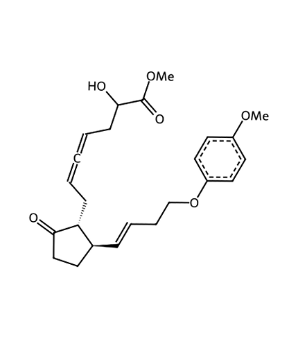 COC(=O)C(O)CC=C=CC[C@H]1C(=O)CC[C@@H]1/C=C/CCOc1ccc(OC)cc1